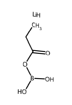 CCC(=O)OB(O)O.[LiH]